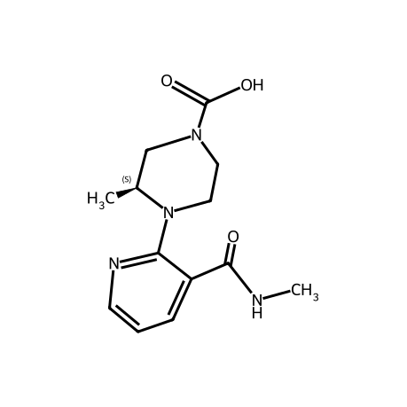 CNC(=O)c1cccnc1N1CCN(C(=O)O)C[C@@H]1C